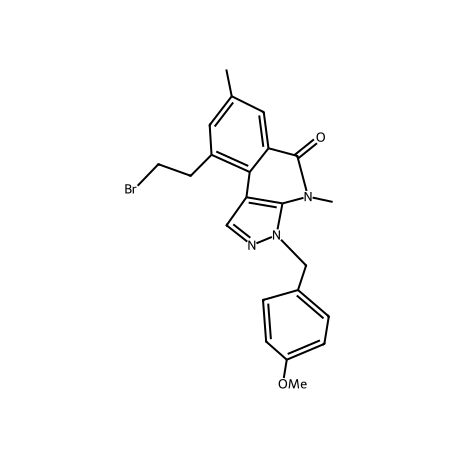 COc1ccc(Cn2ncc3c4c(CCBr)cc(C)cc4c(=O)n(C)c32)cc1